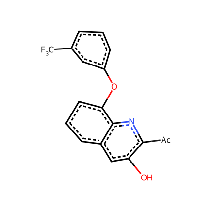 CC(=O)c1nc2c(Oc3cccc(C(F)(F)F)c3)cccc2cc1O